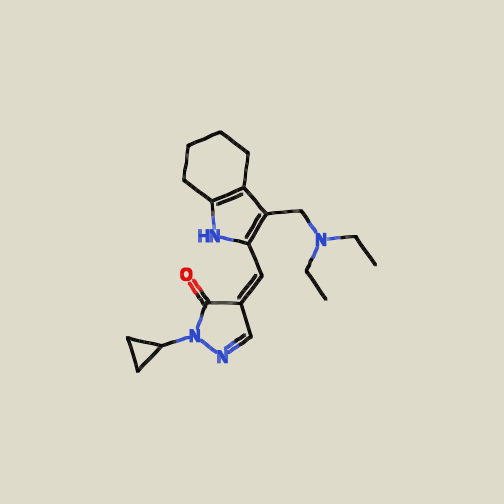 CCN(CC)Cc1c(C=C2C=NN(C3CC3)C2=O)[nH]c2c1CCCC2